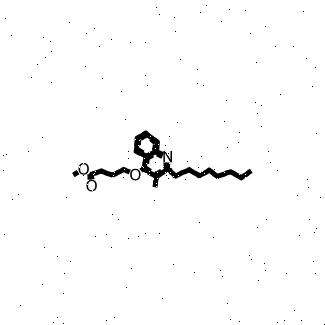 CCCCCCCCc1nc2ccccc2c(OCCCC(=O)OC)c1C